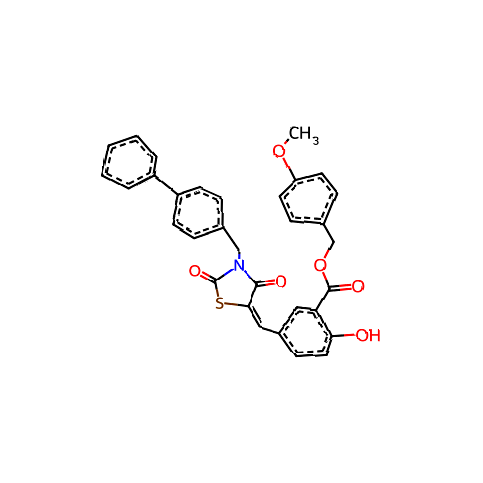 COc1ccc(COC(=O)c2cc(C=C3SC(=O)N(Cc4ccc(-c5ccccc5)cc4)C3=O)ccc2O)cc1